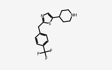 FC(F)(F)c1ccc(Cc2ncc(C3CCNCC3)s2)cc1